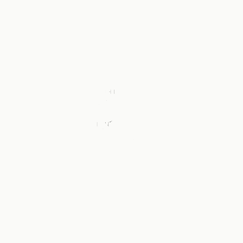 N[C@@H](CC(=O)O)c1cccc(Cl)c1